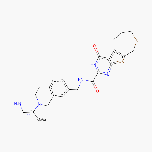 CO/C(=C/N)N1CCc2ccc(CNC(=O)c3nc4sc5c(c4c(=O)[nH]3)CCCSC5)cc2C1